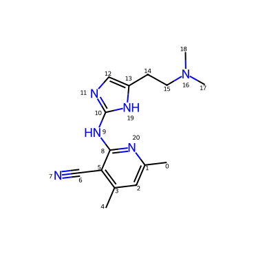 Cc1cc(C)c(C#N)c(Nc2ncc(CCN(C)C)[nH]2)n1